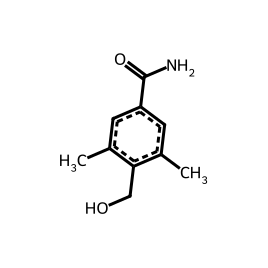 Cc1cc(C(N)=O)cc(C)c1CO